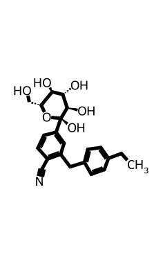 CCc1ccc(Cc2cc([C@]3(O)O[C@H](CO)[C@@H](O)[C@H](O)[C@H]3O)ccc2C#N)cc1